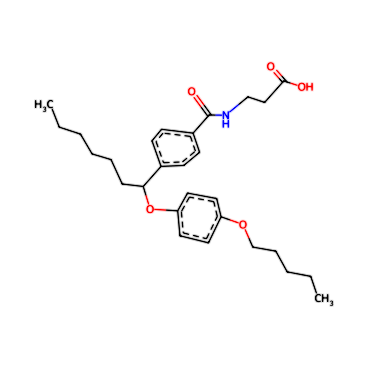 CCCCCCC(Oc1ccc(OCCCCC)cc1)c1ccc(C(=O)NCCC(=O)O)cc1